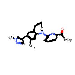 CNC(=O)c1cccc(N2CCCc3cc(-c4cnn(C)c4)c(C)cc32)n1